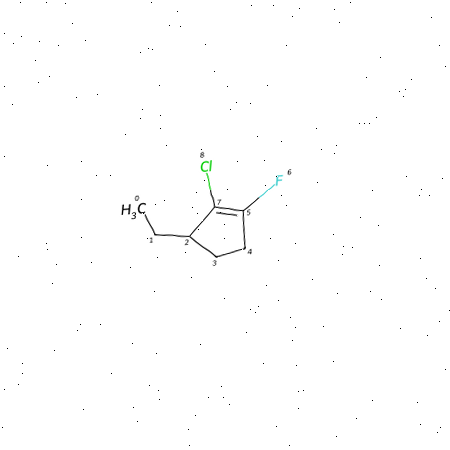 CCC1CCC(F)=C1Cl